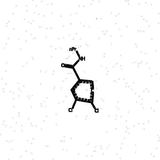 CCCNC(=O)c1ccc(Cl)c(Cl)c1